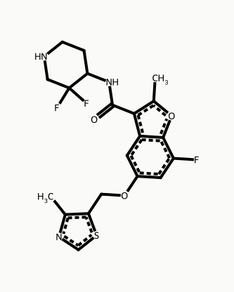 Cc1ncsc1COc1cc(F)c2oc(C)c(C(=O)NC3CCNCC3(F)F)c2c1